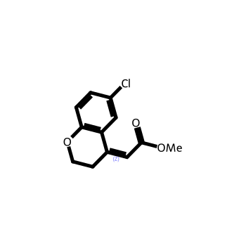 COC(=O)/C=C1/CCOc2ccc(Cl)cc21